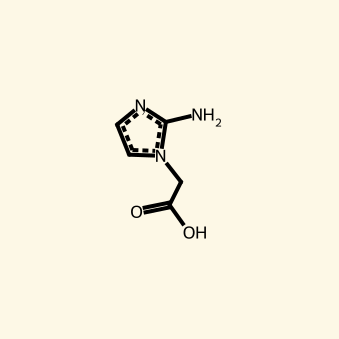 Nc1nccn1CC(=O)O